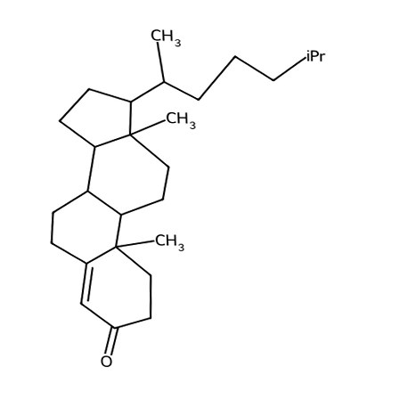 CC(C)CCCC(C)C1CCC2C3CCC4=CC(=O)CCC4(C)C3CCC12C